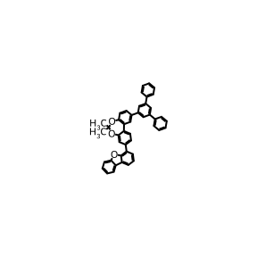 CC1(C)Oc2cc(-c3cccc4c3oc3ccccc34)ccc2-c2cc(-c3cc(-c4ccccc4)cc(-c4ccccc4)c3)ccc2O1